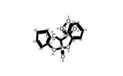 CC(P1(=O)OOO1)P(=O)(Oc1ccccc1)Oc1ccccc1